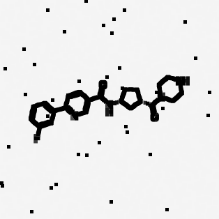 O=C(N[C@@H]1CC[C@H](C(=O)N2CCNCC2)C1)c1ccc(-c2cccc(F)c2)nc1